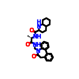 C[C@H](NC(=O)C1CCC2CCCCC2N1)C(=O)NCN1C(=O)Cc2ccccc2-c2ccccc21